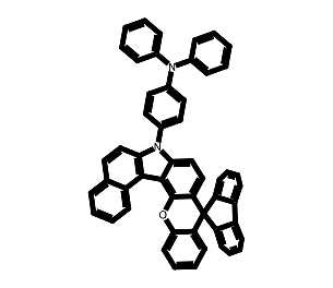 c1ccc(N(c2ccccc2)c2ccc(-n3c4ccc5c(c4c4c6ccccc6ccc43)Oc3ccccc3C53c4ccccc4-c4ccccc43)cc2)cc1